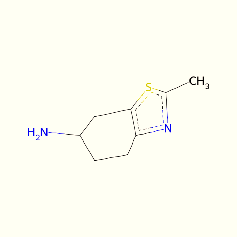 Cc1nc2c(s1)CC(N)CC2